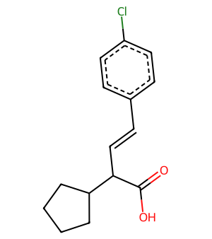 O=C(O)C(C=Cc1ccc(Cl)cc1)C1CCCC1